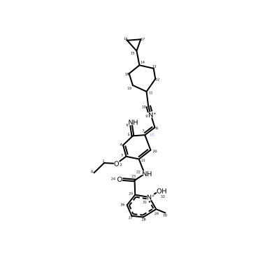 CCOC1=CC(=N)/C(=C\[N+]#CC2CCC(C3CC3)CC2)C=C1NC(=O)c1cccc(C)[n+]1O